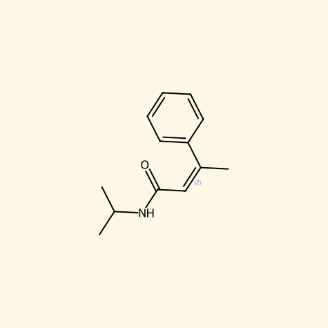 C/C(=C/C(=O)NC(C)C)c1ccccc1